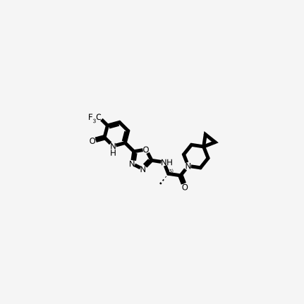 C[C@H](Nc1nnc(-c2ccc(C(F)(F)F)c(=O)[nH]2)o1)C(=O)N1CCC2(CC1)CC2